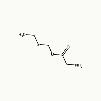 CCSCOC(=O)CN